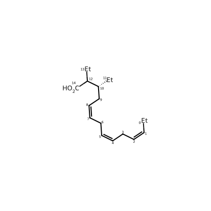 CC/C=C\C/C=C\C/C=C\C[C@@H](CC)C(CC)C(=O)O